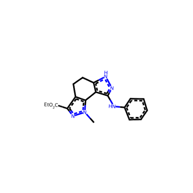 CCOC(=O)c1nn(C)c2c1CCc1[nH]nc(Nc3ccccc3)c1-2